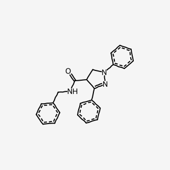 O=C(NCc1ccccc1)C1CN(c2ccccc2)N=C1c1ccccc1